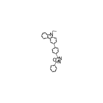 CCn1c2ccccc2c2cc(-c3ccc(-c4nnc(-c5ccccc5)o4)cc3)ccc21